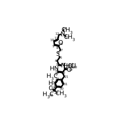 Cc1[nH]c(CCSCc2ccc(CN(C)C)o2)nc(=O)c1Cc1ccc(C(C)(C)C)cc1.Cl.Cl